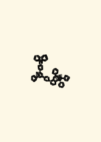 c1ccc(-c2cc(-c3ccc(-c4cccc5c4cc(-c4ccccc4)n4nc(-c6ccccc6)c(-c6ccccc6)c54)cc3)cc(-c3ccc(-n4c5ccccc5c5ccccc54)cc3)n2)cc1